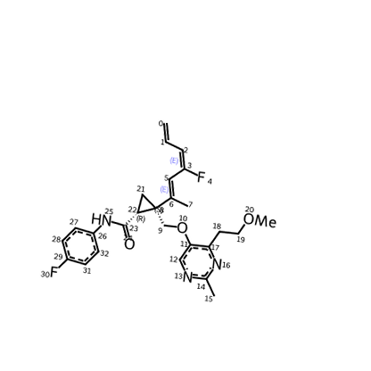 C=C/C=C(F)\C=C(/C)[C@]1(COc2cnc(C)nc2CCOC)C[C@H]1C(=O)Nc1ccc(F)cc1